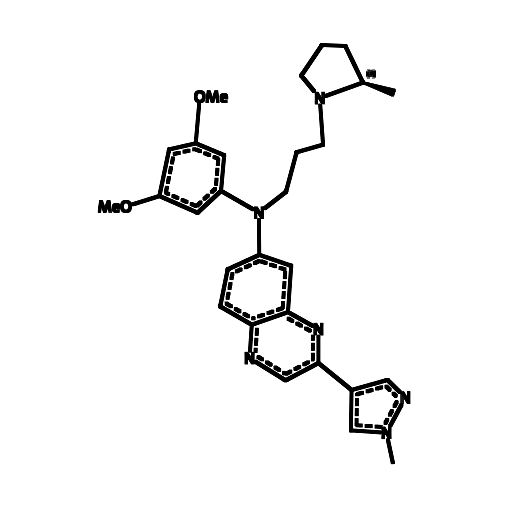 COc1cc(OC)cc(N(CCCN2CCC[C@H]2C)c2ccc3ncc(-c4cnn(C)c4)nc3c2)c1